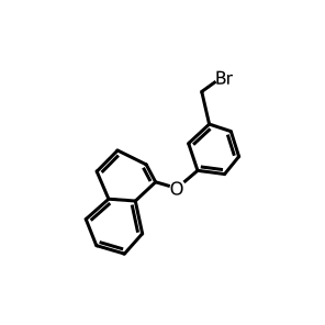 BrCc1cccc(Oc2cccc3ccccc23)c1